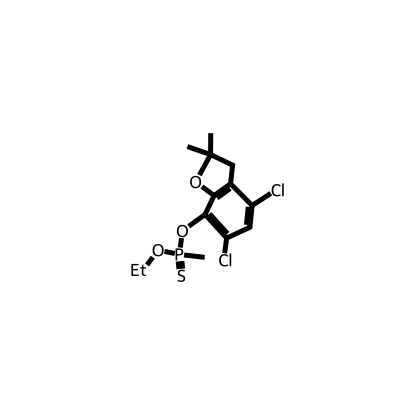 CCOP(C)(=S)Oc1c(Cl)cc(Cl)c2c1OC(C)(C)C2